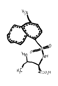 CC(O)C(NS(=O)(=O)c1ccc(N)c2ccccc12)C(=O)O